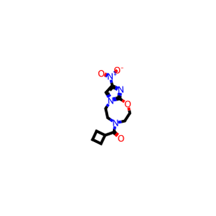 O=C(C1CCC1)N1CCOc2nc([N+](=O)[O-])cn2CC1